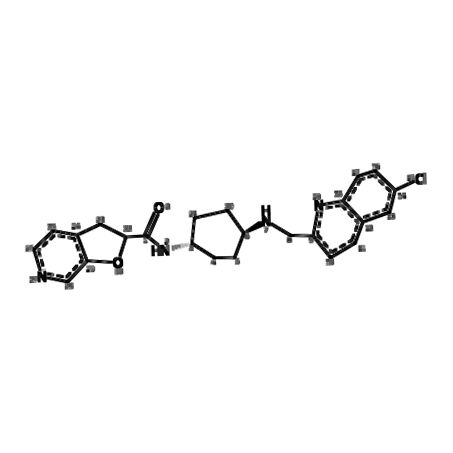 O=C(N[C@H]1CC[C@H](NCc2ccc3cc(Cl)ccc3n2)CC1)C1Cc2ccncc2O1